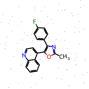 Cc1nc(-c2ccc(F)cc2)c(-c2ccnc3ccccc23)o1